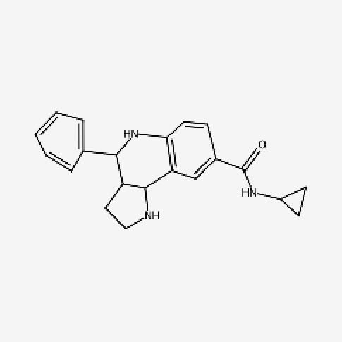 O=C(NC1CC1)c1ccc2c(c1)C1NCCC1C(c1ccccc1)N2